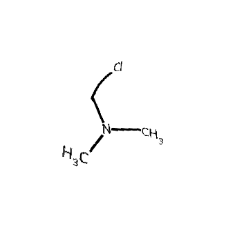 CN(C)CCl